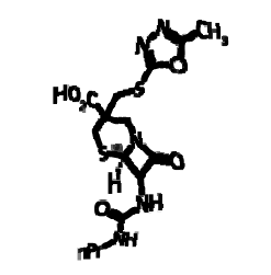 CCCNC(=O)NC1C(=O)N2CC(CSc3nnc(C)o3)(C(=O)O)CS[C@H]12